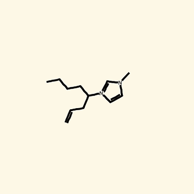 C=CCC(CCCC)[n+]1ccn(C)c1